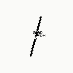 CCCCCCCCCCCCSCC(CP(=O)(O)O)C(=O)OCCCCCCCCCC